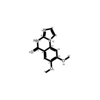 COc1cc2c(=O)[nH]c3nccn3c2cc1OC